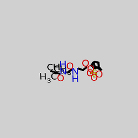 CCC(C)(C)C(=O)NCC(=O)NCCC(=O)OC1C2CC3C1OS(=O)(=O)C3C2